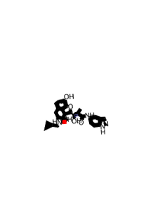 C/C(C(=O)Nc1ccc2[nH]ncc2c1)=C(/O)[C@@H]1Oc2c(O)ccc3c2[C@@]12CCN(CC1CC1)[C@H](C3)[C@@]2(C)O